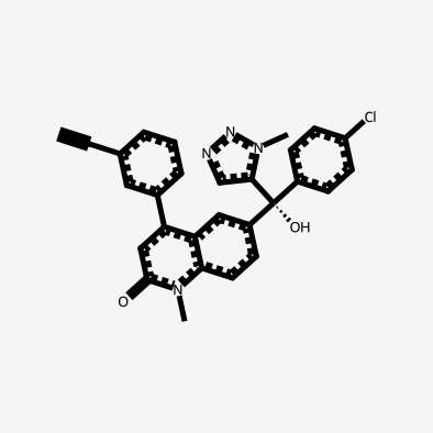 C#Cc1cccc(-c2cc(=O)n(C)c3ccc([C@](O)(c4ccc(Cl)cc4)c4cnnn4C)cc23)c1